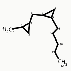 [CH2]C1CC1CC1CC1CCCCC